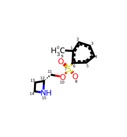 Cc1ccccc1S(=O)(=O)OC[C@H]1CCN1